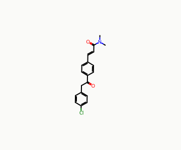 CN(C)C(=O)C=Cc1ccc(C(=O)Cc2ccc(Cl)cc2)cc1